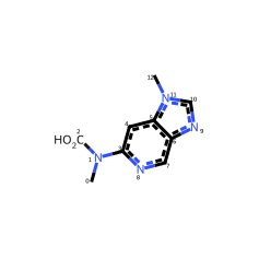 CN(C(=O)O)c1cc2c(cn1)ncn2C